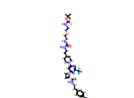 CC(C)(C)OC(=O)NCCOCCNC(=O)NCCC1CCN(c2cc(N3CC[C@H]3C(=O)NCCc3ccc(C#N)cc3)nc(C(F)(F)F)n2)CC1